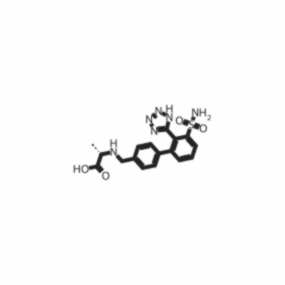 C[C@H](NCc1ccc(-c2cccc(S(N)(=O)=O)c2-c2nnn[nH]2)cc1)C(=O)O